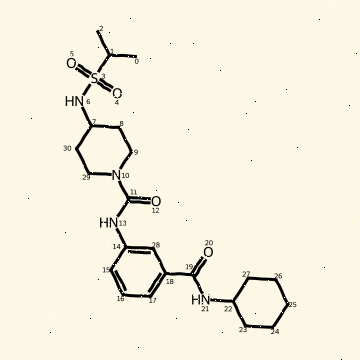 CC(C)S(=O)(=O)NC1CCN(C(=O)Nc2cccc(C(=O)NC3CCCCC3)c2)CC1